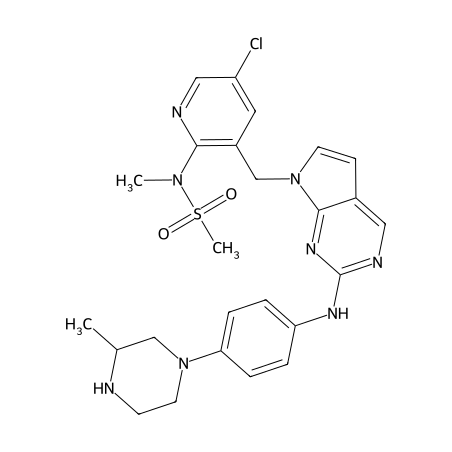 CC1CN(c2ccc(Nc3ncc4ccn(Cc5cc(Cl)cnc5N(C)S(C)(=O)=O)c4n3)cc2)CCN1